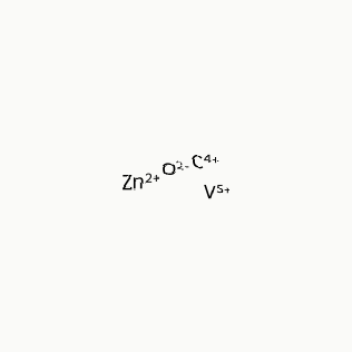 [C+4].[O-2].[V+5].[Zn+2]